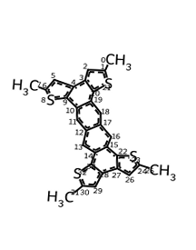 Cc1cc2c3cc(C)sc3c3cc4cc5c(cc4cc3c2s1)c1sc(C)cc1c1cc(C)sc15